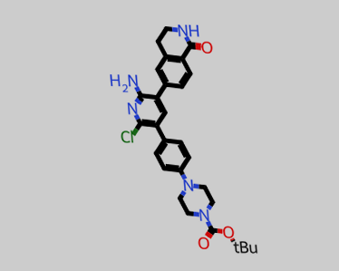 CC(C)(C)OC(=O)N1CCN(c2ccc(-c3cc(-c4ccc5c(c4)CCNC5=O)c(N)nc3Cl)cc2)CC1